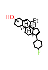 CCC1C=C2C[C@@H](O)CC[C@]2(C)[C@H]2CC[C@]3(C)C(C4CCC(F)CC4)=CC[C@H]3[C@H]12